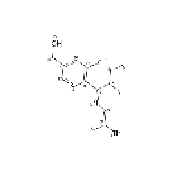 CCC(C)/C(=N\C=C(/C)Br)c1ccc(CO)cc1Cl